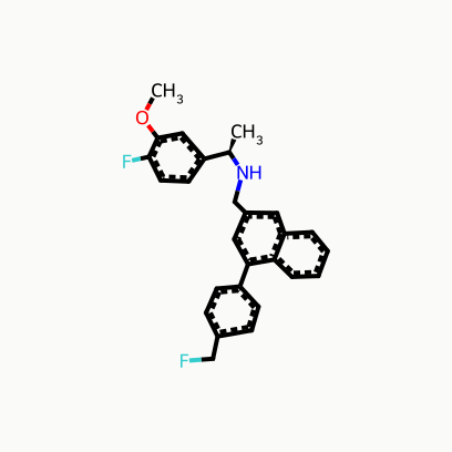 COc1cc([C@@H](C)NCc2cc(-c3ccc(CF)cc3)c3ccccc3c2)ccc1F